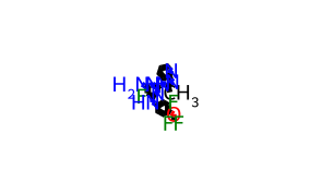 Cc1nc2ncccc2n1-c1nc(N)c(F)c(Nc2ccc(OC(F)F)c(F)c2)n1